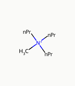 CCC[N+](C)(CCC)CCC